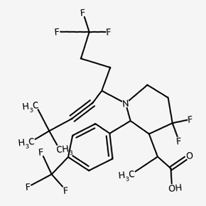 CC(C(=O)O)C1C(c2ccc(C(F)(F)F)cc2)N(C(C#CC(C)(C)C)CCC(F)(F)F)CCC1(F)F